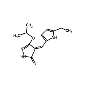 CCc1ccc(C=C2C(=O)NN=C2OC(C)C)[nH]1